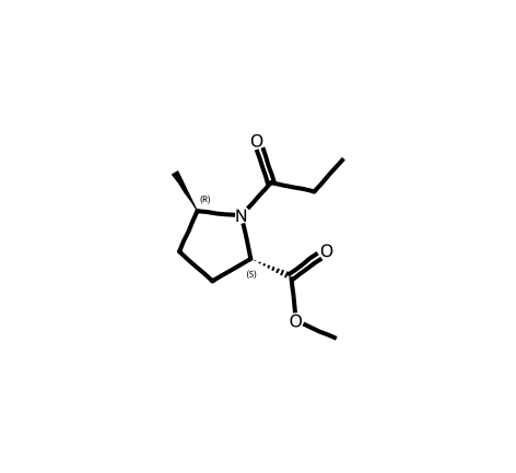 CCC(=O)N1[C@H](C)CC[C@H]1C(=O)OC